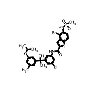 Cc1cc(OC(C)C)cc(C(C)(C)c2cc(Cl)cc(NC(=O)c3cc4c(Br)c(NS(C)(=O)=O)ccc4s3)c2)c1